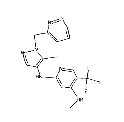 CNc1nc(Nc2cnn(Cc3cccnn3)c2C)ncc1C(F)(F)F